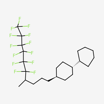 CC(CCC[C@H]1CC[C@H](C2CCCCC2)CC1)C(F)(F)C(F)(F)C(F)(F)C(F)(F)C(F)(F)C(F)(F)F